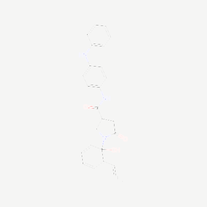 C=CC1C=CC=CC1(O)N1CC(C(=O)Nc2ccc(Nc3ccccc3)cc2)CC1=O